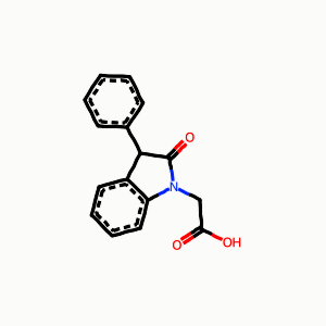 O=C(O)CN1C(=O)C(c2ccccc2)c2ccccc21